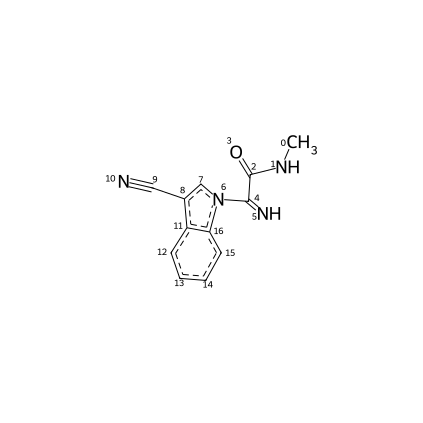 CNC(=O)C(=N)n1cc(C#N)c2ccccc21